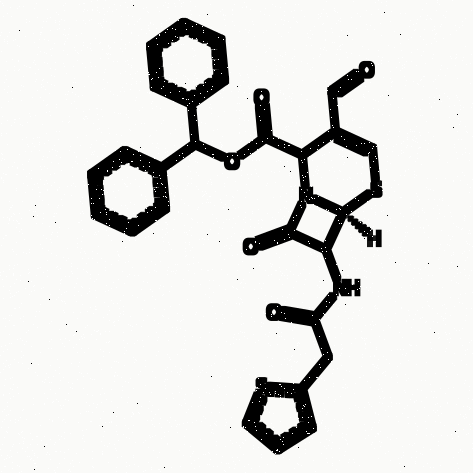 O=CC1=CS[C@H]2C(NC(=O)Cc3cccs3)C(=O)N2C1C(=O)OC(c1ccccc1)c1ccccc1